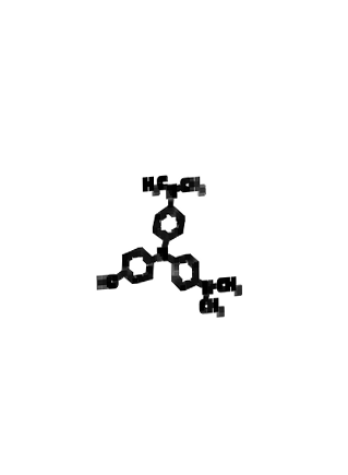 CN(C)c1ccc(N(c2ccc(O)cc2)c2ccc(N(C)C)cc2)cc1